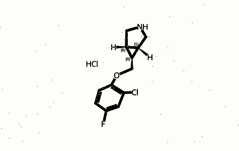 Cl.Fc1ccc(OC[C@H]2[C@@H]3CNC[C@@H]32)c(Cl)c1